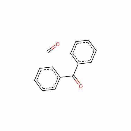 C=O.O=C(c1ccccc1)c1ccccc1